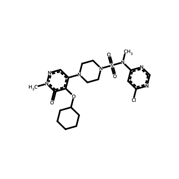 CN(c1cc(Cl)ncn1)S(=O)(=O)N1CCN(c2cnn(C)c(=O)c2OC2CCCCC2)CC1